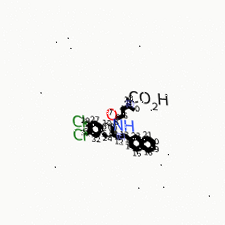 C/C(=C\C(=O)O)CCC(=O)N[C@@H](C)[C@H](/C=C/c1ccc2ccccc2c1)Cc1ccc(Cl)c(Cl)c1